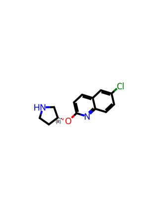 Clc1ccc2nc(O[C@@H]3CCNC3)ccc2c1